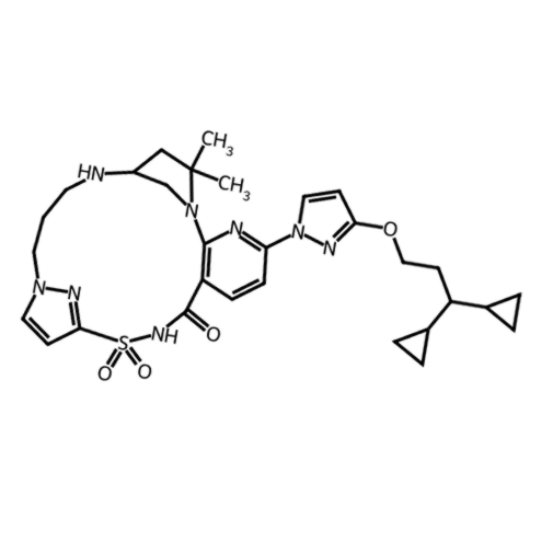 CC1(C)CC2CN1c1nc(-n3ccc(OCCC(C4CC4)C4CC4)n3)ccc1C(=O)NS(=O)(=O)c1ccn(n1)CCCN2